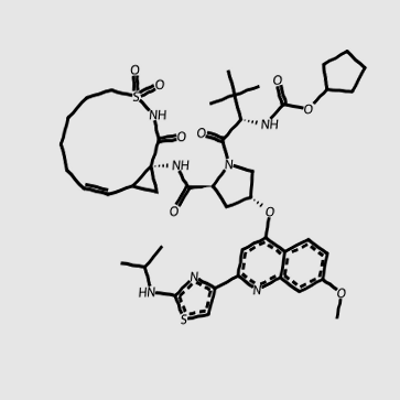 COc1ccc2c(O[C@@H]3C[C@@H](C(=O)N[C@]45CC4/C=C\CCCCCS(=O)(=O)NC5=O)N(C(=O)[C@@H](NC(=O)OC4CCCC4)C(C)(C)C)C3)cc(-c3csc(NC(C)C)n3)nc2c1